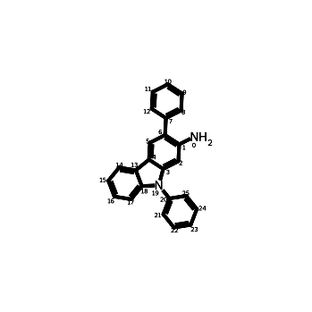 Nc1cc2c(cc1-c1ccccc1)c1ccccc1n2-c1ccccc1